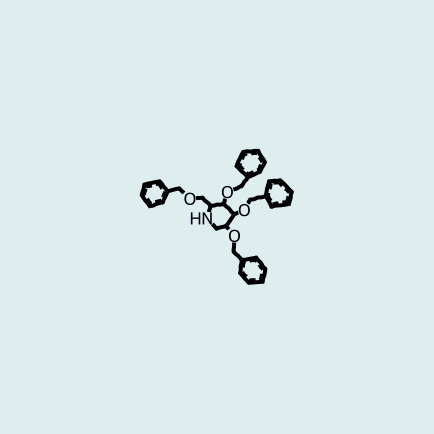 c1ccc(COCC2NCC(OCc3ccccc3)C(OCc3ccccc3)C2OCc2ccccc2)cc1